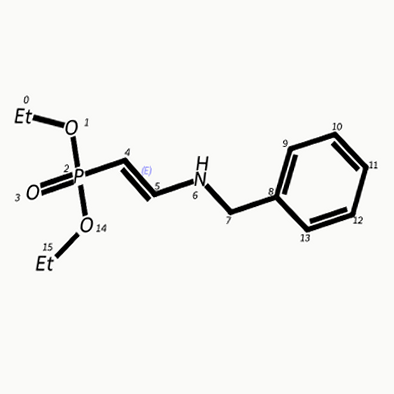 CCOP(=O)(/C=C/NCc1ccccc1)OCC